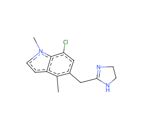 Cc1c(CC2=NCCN2)cc(Cl)c2c1ccn2C